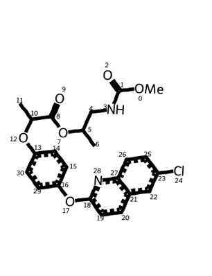 COC(=O)NCC(C)OC(=O)C(C)Oc1ccc(Oc2ccc3cc(Cl)ccc3n2)cc1